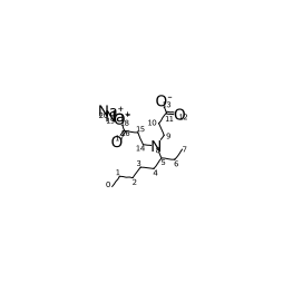 CCCCCC(CC)N(CCC(=O)[O-])CCC(=O)[O-].[Na+].[Na+]